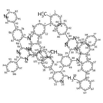 Cc1ccccc1-c1ccc2c(c1)c1cc(-c3ccc(-c4ccncc4-c4ccc(-c5nc(-c6ccccc6)nc(-c6ccccc6)n5)c(-n5c6ccccc6c6ccc(-c7ccccc7C)cc65)c4)cc3C)ccc1n2-c1cc(-c2cccnc2)ccc1-c1nc(-c2ccccc2)nc(-c2ccccc2)n1